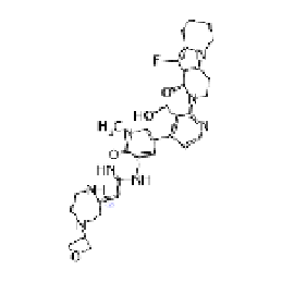 Cn1cc(-c2ccnc(N3CCc4c(c(F)c5n4CCCC5)C3=O)c2CO)cc(NC(=N)/C=C2/CN(C3COC3)CCN2)c1=O